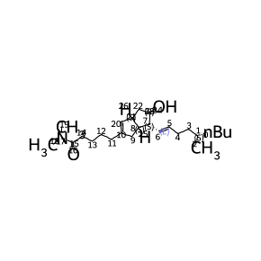 CCCC[C@H](C)CC/C=C/[C@@H]1[C@H]2CC(CCCCC(=O)N(C)C)=C[C@H]2C[C@H]1O